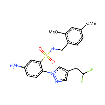 COc1ccc(CNS(=O)(=O)c2cc(N)ccc2-n2cc(CC(F)F)cn2)c(OC)c1